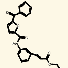 CCOC(=O)/C=C/c1cccc(NC(=O)c2ccc(C(=O)c3ccccc3)o2)c1